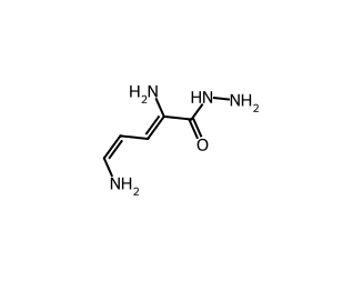 N/C=C\C=C(/N)C(=O)NN